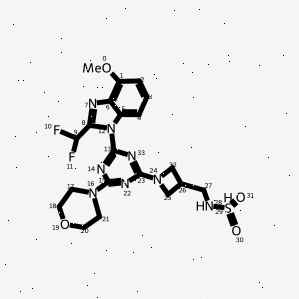 COc1cccc2c1nc(C(F)F)n2-c1nc(N2CCOCC2)nc(N2CC(CN[SH](=O)=O)C2)n1